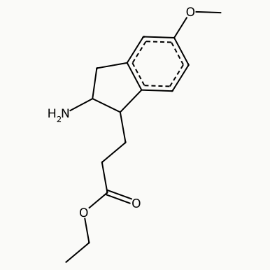 CCOC(=O)CCC1c2ccc(OC)cc2CC1N